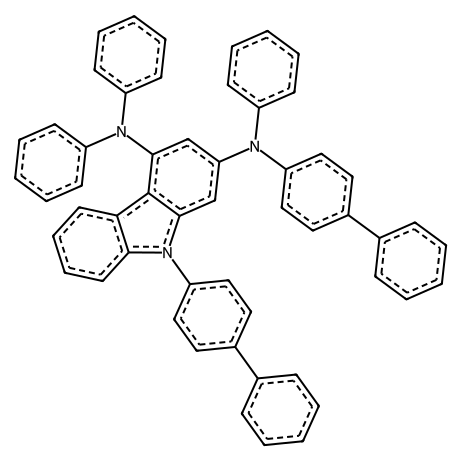 c1ccc(-c2ccc(N(c3ccccc3)c3cc(N(c4ccccc4)c4ccccc4)c4c5ccccc5n(-c5ccc(-c6ccccc6)cc5)c4c3)cc2)cc1